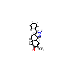 C[C@@H]1C(=O)C(C(F)(F)F)=C[C@]2(C)c3nn(C)c(-c4ccccc4)c3CC[C@@H]12